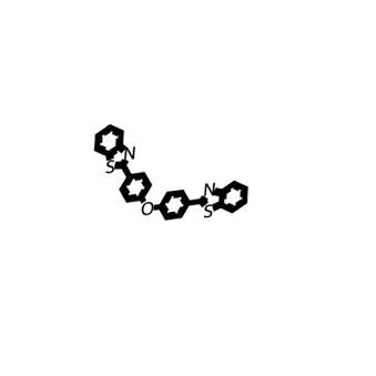 c1ccc2sc(-c3ccc(Oc4ccc(-c5nc6ccccc6s5)cc4)cc3)nc2c1